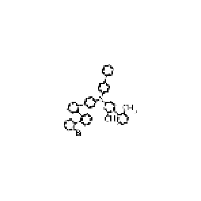 Cc1ccccc1-c1ccc(N(c2ccc(-c3ccccc3)cc2)c2ccc(-c3ccccc3-c3ccccc3-c3ccccc3Br)cc2)cc1C